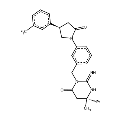 CC(C)[C@]1(C)CC(=O)N(Cc2cccc(N3C[C@@H](c4cccc(C(F)(F)F)c4)CC3=O)c2)C(=N)N1